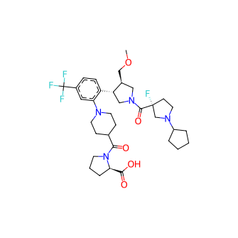 COC[C@H]1CN(C(=O)[C@@]2(F)CCN(C3CCCC3)C2)C[C@@H]1c1ccc(C(F)(F)F)cc1N1CCC(C(=O)N2CCC[C@@H]2C(=O)O)CC1